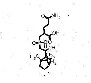 CC(CP(=O)(O)CC(CCC(N)=O)C(=O)O)C1CC2CCC1(C)C2(C)C